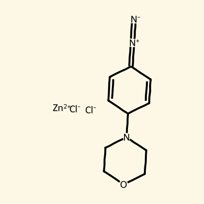 [Cl-].[Cl-].[N-]=[N+]=C1C=CC(N2CCOCC2)C=C1.[Zn+2]